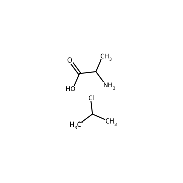 CC(C)Cl.CC(N)C(=O)O